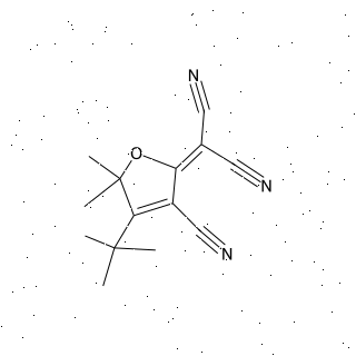 CC(C)(C)C1=C(C#N)C(=C(C#N)C#N)OC1(C)C